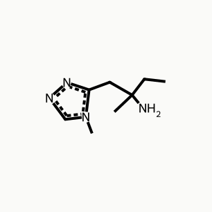 CCC(C)(N)Cc1nncn1C